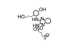 C[S+]([O-])CCCS(=O)(=O)Nc1nc2ccccc2nc1Nc1cc(O)ccc1CCCO